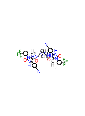 CC1=C(C(=O)NCC[N+](C)(C)CCNC(=O)C2=C(C)N(c3cccc(C(F)(F)F)c3)C(=O)N[C@@H]2c2ccc(C#N)cc2)[C@@H](c2ccc(C#N)cc2)NC(=O)N1c1cccc(C(F)(F)F)c1